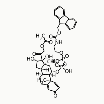 CC(=O)OCC(=O)[C@@]1(O)[C@H](O)C[C@H]2[C@@H]3CCC4=CC(=O)C=C[C@]4(C)[C@H]3[C@@H](OP(=O)(O)OP(=O)(O)OCCNC(=O)OCC3c4ccccc4-c4ccccc43)C[C@@]21C